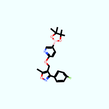 Cc1onc(-c2ccc(F)cc2)c1COc1ccc(B2OC(C)(C)C(C)(C)O2)cn1